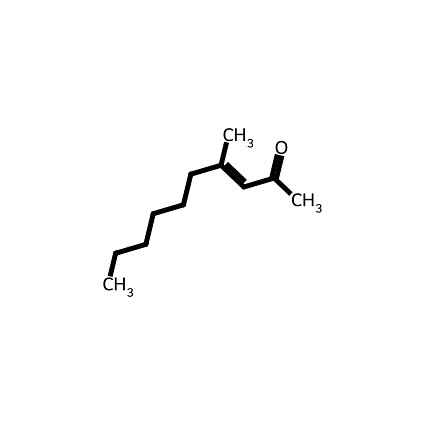 CCCCCCC(C)=CC(C)=O